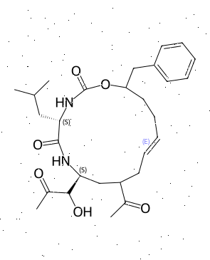 CC(=O)C1C/C=C/CCC(Cc2ccccc2)OC(=O)N[C@@H](CC(C)C)C(=O)N[C@H](C(O)C(C)=O)C1